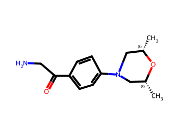 C[C@@H]1CN(c2ccc(C(=O)CN)cc2)C[C@H](C)O1